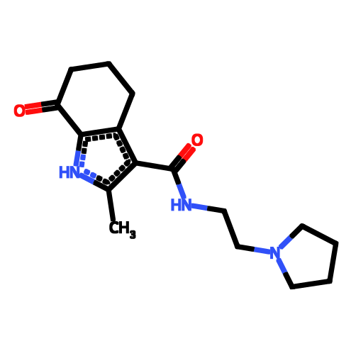 Cc1[nH]c2c(c1C(=O)NCCN1CCCC1)CCCC2=O